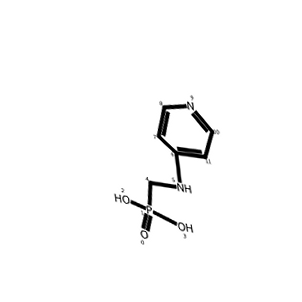 O=P(O)(O)CNc1ccncc1